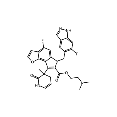 CN(C)CCOC(=O)c1c(C2(C)CC=CNC2=O)c2c3occc3c(F)cc2n1Cc1cc2cn[nH]c2cc1F